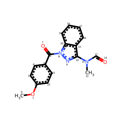 COc1ccc(C(=O)n2nc(N(C)C=O)c3ccccc32)cc1